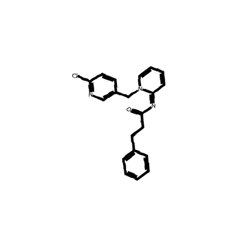 O=C(CCc1ccccc1)N=c1ccccn1Cc1ccc(Cl)nc1